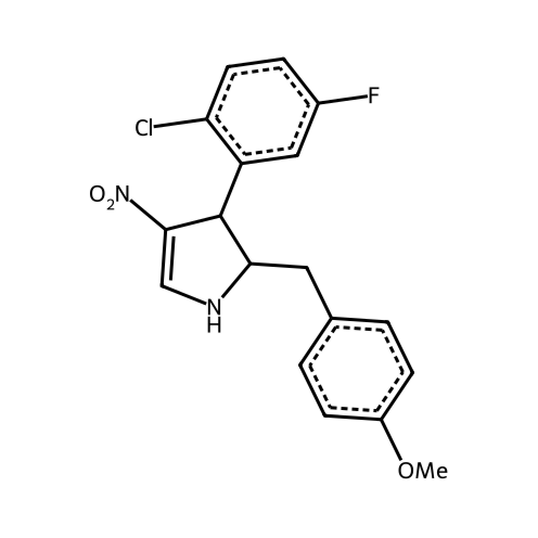 COc1ccc(CC2NC=C([N+](=O)[O-])C2c2cc(F)ccc2Cl)cc1